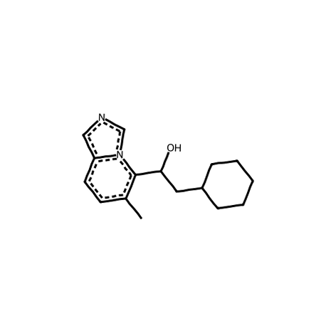 Cc1ccc2cncn2c1C(O)CC1CCCCC1